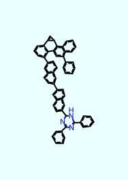 C1=C2c3cccc(-c4ccc5cc(-c6ccc7cc(C8N=C(c9ccccc9)N=C(c9ccccc9)N8)ccc7c6)ccc5c4)c3-c3cc(-c4ccccc4)c4ccccc4c3C12